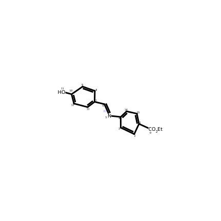 CCOC(=O)c1ccc(/N=C/c2ccc(O)cc2)cc1